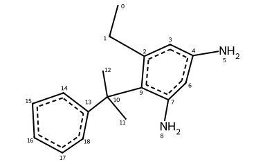 CCc1cc(N)cc(N)c1C(C)(C)c1ccccc1